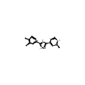 Cc1cc(-c2noc(-c3ccc(C)c(C)c3)n2)ccn1